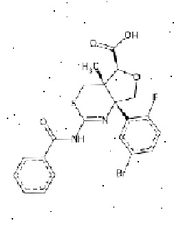 C[C@]12CSC(NC(=O)c3ccccc3)=N[C@@]1(c1cc(Br)ccc1F)CO[C@@H]2C(=O)O